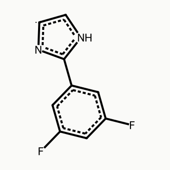 Fc1cc(F)cc(-c2n[c]c[nH]2)c1